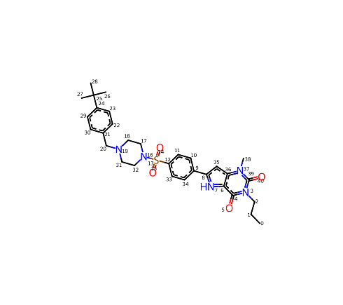 CCCn1c(=O)c2[nH]c(-c3ccc(S(=O)(=O)N4CCN(Cc5ccc(C(C)(C)C)cc5)CC4)cc3)cc2n(C)c1=O